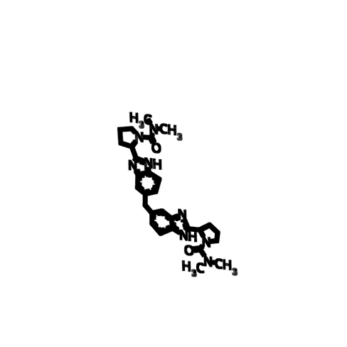 CN(C)C(=O)N1CCCC1c1nc2cc(Cc3ccc4[nH]c(C5CCCN5C(=O)N(C)C)nc4c3)ccc2[nH]1